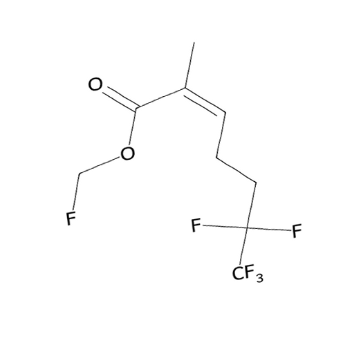 CC(=CCCC(F)(F)C(F)(F)F)C(=O)OCF